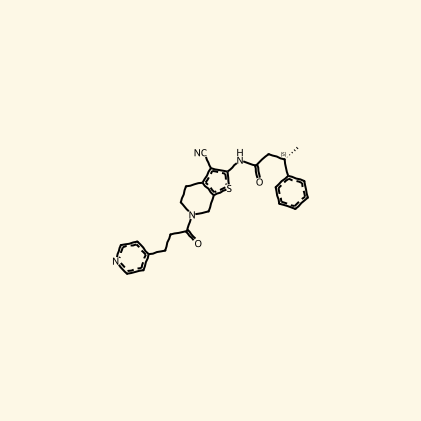 C[C@@H](CC(=O)Nc1sc2c(c1C#N)CCN(C(=O)CCc1ccncc1)C2)c1ccccc1